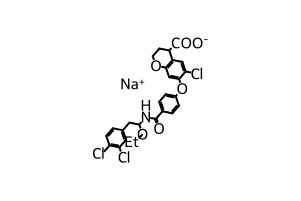 CCOC(Cc1ccc(Cl)c(Cl)c1)NC(=O)c1ccc(Oc2cc3c(cc2Cl)C(C(=O)[O-])CCO3)cc1.[Na+]